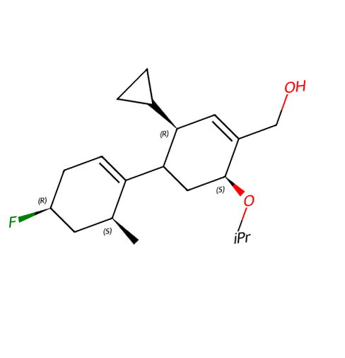 CC(C)O[C@H]1CC(C2=CC[C@H](F)C[C@@H]2C)[C@@H](C2CC2)C=C1CO